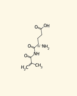 C=C(C)C(=O)NC(=O)[C@@H](N)CCC(=O)O